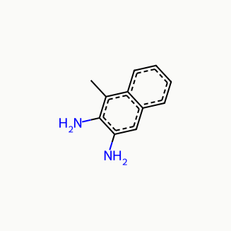 Cc1c(N)c(N)cc2ccccc12